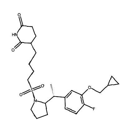 C[C@H](c1ccc(F)c(OCC2CC2)c1)C1CCCN1S(=O)(=O)CCCCC1CCC(=O)NC1=O